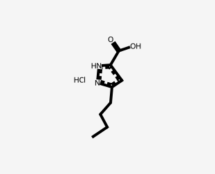 CCCCc1cc(C(=O)O)[nH]n1.Cl